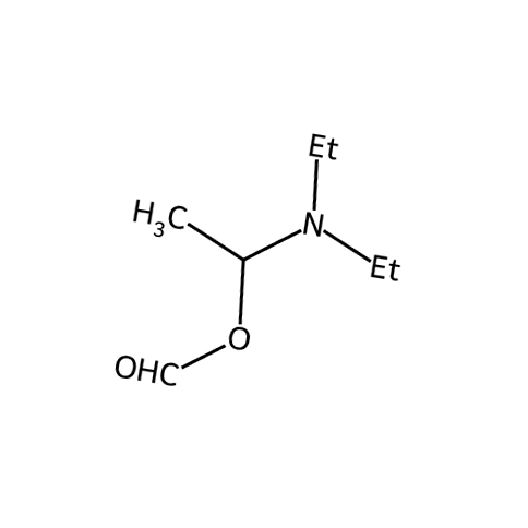 CCN(CC)C(C)OC=O